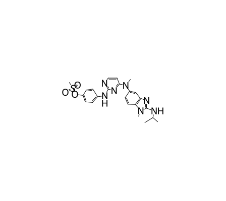 CC(C)Nc1nc2cc(N(C)c3ccnc(Nc4ccc(OS(C)(=O)=O)cc4)n3)ccc2n1C